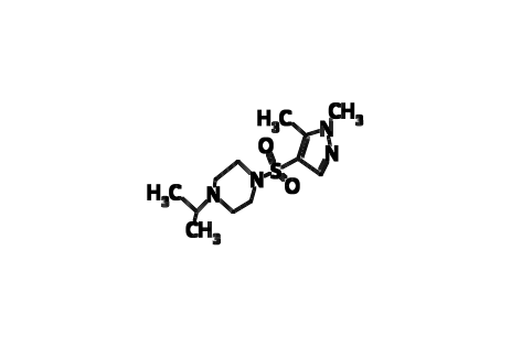 Cc1c(S(=O)(=O)N2CCN(C(C)C)CC2)cnn1C